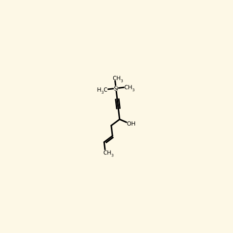 CC=CCC(O)C#C[Si](C)(C)C